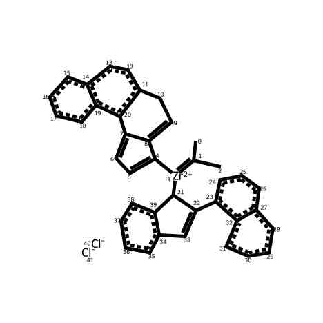 C[C](C)=[Zr+2]([C]1=CC=C2C1=CCc1ccc3ccccc3c12)[CH]1C(c2cccc3ccccc23)=Cc2ccccc21.[Cl-].[Cl-]